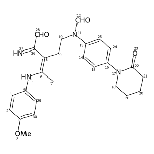 COc1ccc(N/C(C)=C(/CCN(C=O)c2ccc(N3CCCCC3=O)cc2)C(=N)C=O)cc1